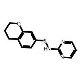 c1cnc(NSc2ccc3c(c2)OCCC3)nc1